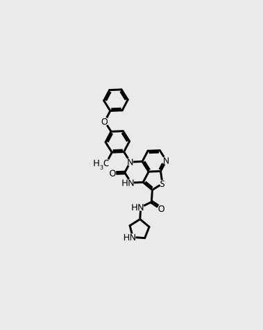 Cc1cc(Oc2ccccc2)ccc1N1C(=O)Nc2c(C(=O)NC3CCNC3)sc3nccc1c23